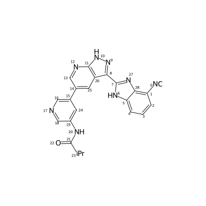 [C-]#[N+]c1cccc2[nH]c(-c3n[nH]c4ncc(-c5cncc(NC(=O)C(C)C)c5)cc34)nc12